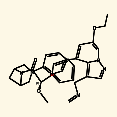 C=NCc1cnn2cc(OCC)cc(-c3ccc(N4CC5CC(C4)N5C(=O)[C@H](OC)c4ccccc4)nc3)c12